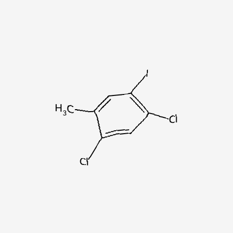 Cc1cc(I)c(Cl)cc1Cl